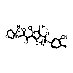 Cc1c(C(=O)Nc2ccc(F)c(C#N)c2)c(C)n(C)c1C(=O)C(=O)NC1(C)CCOC1